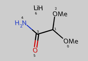 COC(OC)C(N)=O.[LiH]